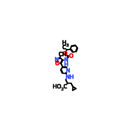 Cc1noc(-c2ccc(NCC(CC3CC3)C(=O)O)nc2)c1NC(=O)OC(C)c1ccccc1